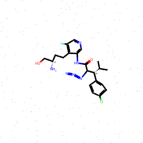 CC(C)[C@H](c1ccc(Cl)cc1)C(N=[N+]=[N-])C(=O)Nc1cncc(F)c1CC[C@H](N)CO